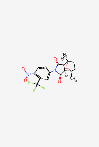 CC12CC[C@@](C)(O1)[C@H]1C(=O)N(c3ccc([N+](=O)[O-])c(C(F)(F)F)c3)C(=O)[C@H]12